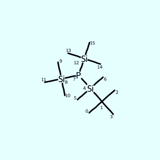 CC(C)(C)[Si](C)(C)P([Si](C)(C)C)[Si](C)(C)C